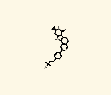 CC(C)(N)CCc1ccc(-c2cc3c(cn2)CCc2c-3[nH]c3c2C(=O)NC2(CC2)C3)cc1